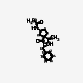 BC(=O)N[C@@H]1CC[C@@](C(=O)OCc2ccccc2)(C(C)O)C1